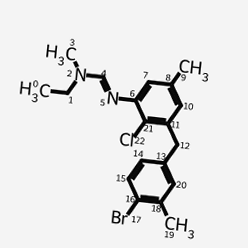 CCN(C)C=Nc1cc(C)cc(Cc2ccc(Br)c(C)c2)c1Cl